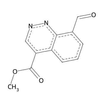 COC(=O)c1cnnc2c(C=O)cccc12